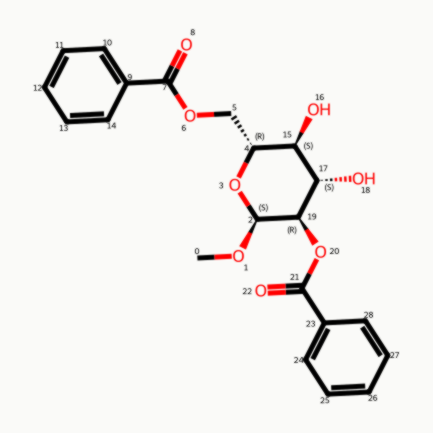 CO[C@H]1O[C@H](COC(=O)c2ccccc2)[C@@H](O)[C@H](O)[C@H]1OC(=O)c1ccccc1